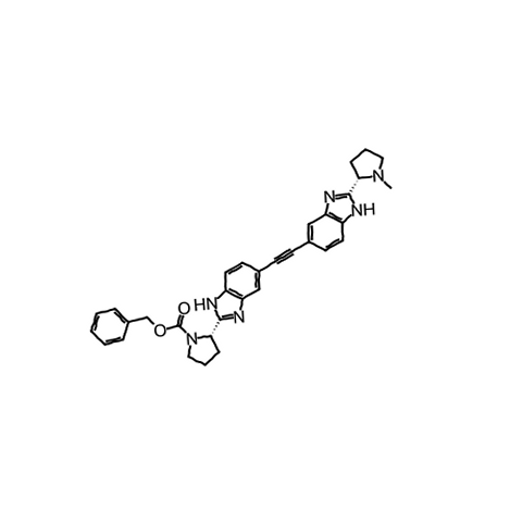 CN1CCC[C@H]1c1nc2cc(C#Cc3ccc4[nH]c([C@@H]5CCCN5C(=O)OCc5ccccc5)nc4c3)ccc2[nH]1